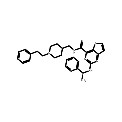 C[C@H](Nc1nc(C(=O)NCC2CCN(CCc3ccccc3)CC2)c2sccc2n1)c1ccccn1